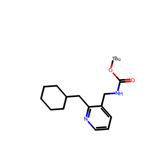 CC(C)(C)OC(=O)NCc1cccnc1CC1CCCCC1